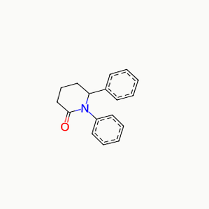 O=C1CCCC(c2ccccc2)N1c1ccccc1